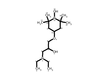 CCN(CC)CC(O)COC1CC(C)(C)N(O)C(C)(C)C1